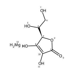 O=C1O[C@H](C(O)CO)C(O)=C1O.[MgH2]